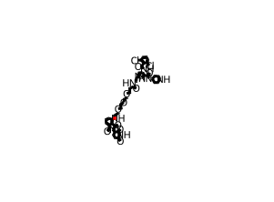 O=C(CCOCCOCCOCCNc1cccc2c1C(=O)N(C1CCC(=O)NC1=O)C2=O)NCCn1cc(NC(=O)c2c(Cl)cccc2Cl)c(C(=O)NC2CCNCC2)n1